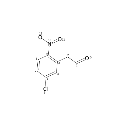 O=CCc1cc(Cl)ccc1[N+](=O)[O-]